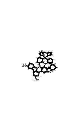 CC(C)(C)c1ccc2c(c1)c1cc(C(C)(C)C)cc3c1n2B1c2cccc4c2N(c2ccccc2C42c4ccccc4-c4ccccc42)c2c1c-3cc1oc3ccccc3c21